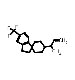 C=CC(C)C1CCC2(CCc3cc(C(F)(F)F)ccc32)CC1